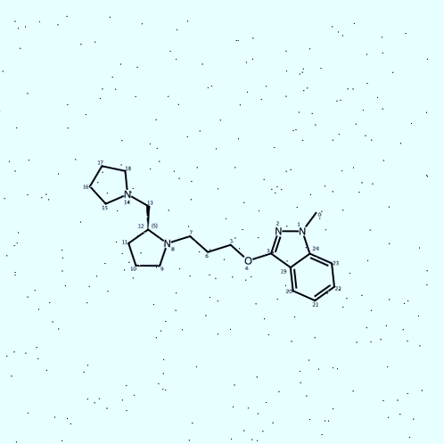 Cn1nc(OCCCN2CCC[C@H]2CN2CCCC2)c2ccccc21